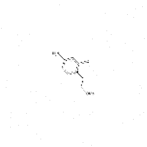 COCCn1ccc(N)cc1=O